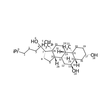 CC(C)CCC[C@@](C)(O)[C@H]1CC[C@H]2[C@@H]3C[C@H](O)[C@H]4C[C@@H](O)CC[C@]4(C)[C@H]3CC[C@@]21C